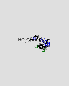 Cc1nc(N2CC([C@H]3CCCN(CCCC(=O)O)C3)C2)nc2c1nnn2[C@H](C)c1ccc(Cl)cc1Cl